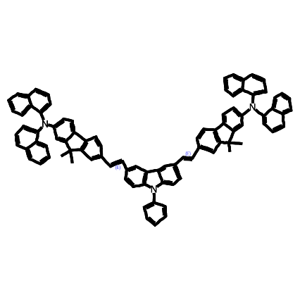 CC1(C)c2cc(/C=C/c3ccc4c(c3)c3cc(/C=C/c5ccc6c(c5)C(C)(C)c5cc(N(c7cccc8ccccc78)c7cccc8ccccc78)ccc5-6)ccc3n4-c3ccccc3)ccc2-c2ccc(N(c3cccc4ccccc34)c3cccc4ccccc34)cc21